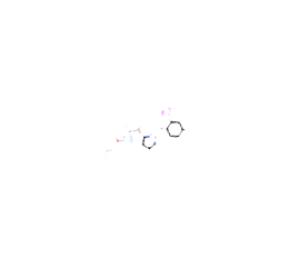 CCOC(=O)NC(C)C(=O)c1cccn1Cc1ccc(Cl)cc1[N+](=O)[O-]